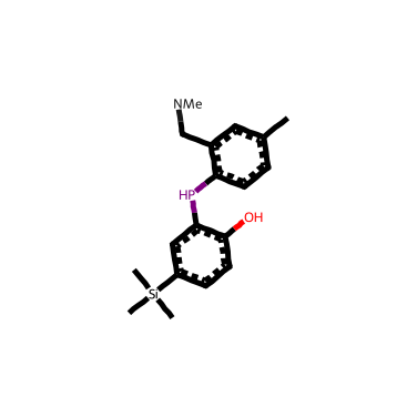 CNCc1cc(C)ccc1Pc1cc([Si](C)(C)C)ccc1O